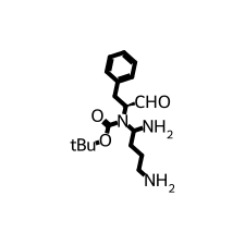 CC(C)(C)OC(=O)N(C(N)CCCN)[C@H](C=O)Cc1ccccc1